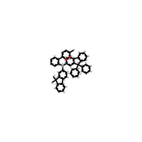 Cc1ccc(-c2ccccc2N(c2ccc3c(c2)C(C)(C)c2ccccc2-3)c2ccc3c(c2)C(c2ccccc2)(c2ccccc2)c2ccccc2-3)cc1